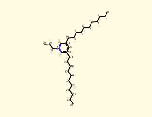 CCCCCCCCCCCc1cc(CCCCCCCCCCC)c[n+](CCC)c1